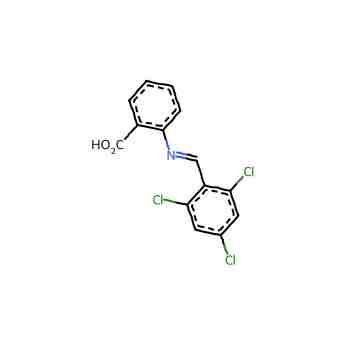 O=C(O)c1ccccc1N=Cc1c(Cl)cc(Cl)cc1Cl